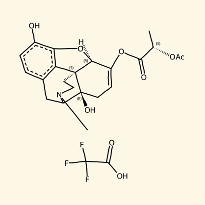 CC(=O)O[C@@H](C)C(=O)OC1=CC[C@]2(O)C3Cc4ccc(O)c5c4[C@@]2(CCN3C)[C@H]1O5.O=C(O)C(F)(F)F